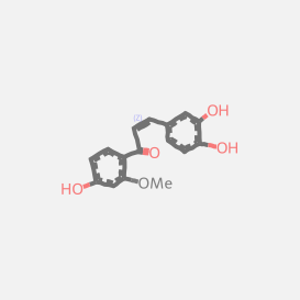 COc1cc(O)ccc1C(=O)/C=C\c1ccc(O)c(O)c1